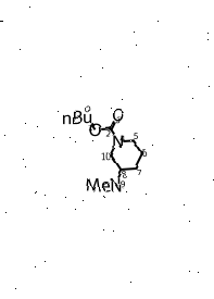 CCCCOC(=O)N1CCCC(NC)C1